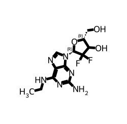 CCNc1nc(N)nc2c1ncn2[C@@H]1O[C@H](CO)C(O)C1(F)F